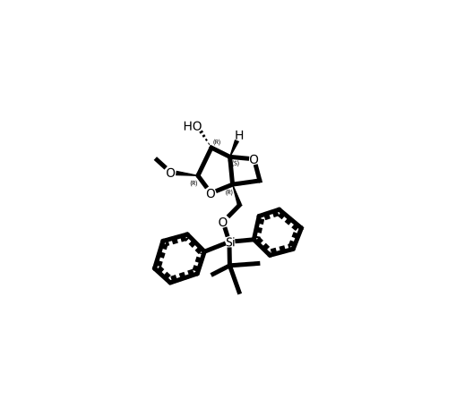 CO[C@@H]1O[C@@]2(CO[Si](c3ccccc3)(c3ccccc3)C(C)(C)C)CO[C@H]2[C@H]1O